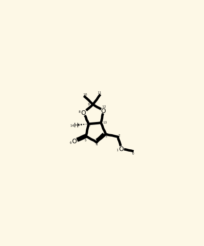 COCC1=CC(=O)[C@H]2OC(C)(C)OC12